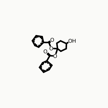 O=C(OC1(OC(=O)c2ccccc2)CCC(O)CC1)c1ccccc1